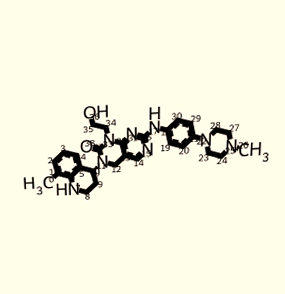 Cc1cccc2c1NCC[C@@H]2N1Cc2cnc(Nc3ccc(N4CCN(C)CC4)cc3)nc2N(CCO)C1=O